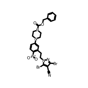 N#Cc1c(Br)nn(CCc2cc(N3CCN(C(=O)OCc4ccccc4)CC3)ccc2[N+](=O)[O-])c1Br